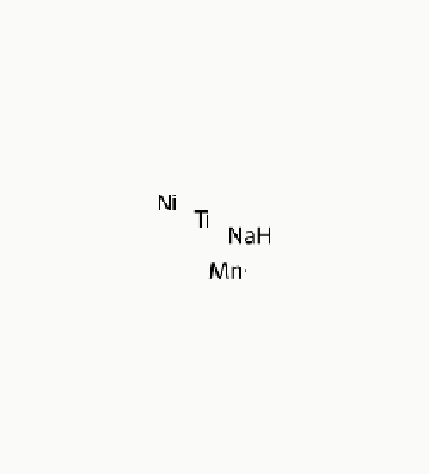 [Mn].[NaH].[Ni].[Ti]